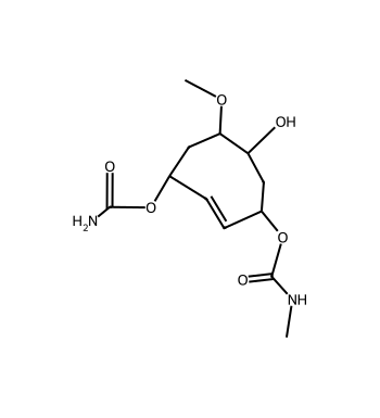 CNC(=O)OC1/C=C/C(OC(N)=O)CC(OC)C(O)C1